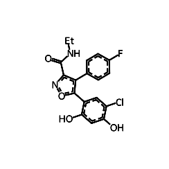 CCNC(=O)c1noc(-c2cc(Cl)c(O)cc2O)c1-c1ccc(F)cc1